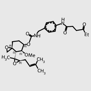 CCC(=O)CCC(=O)Nc1ccc(CNC(=O)O[C@@H]2CC[C@]3(CO3)[C@@H](C3(C)O[C@@H]3CC=C(C)C)[C@@H]2OC)cc1